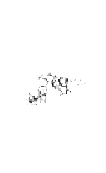 COc1ncc(Cl)cc1S(=O)(=O)Nc1ccc(F)c([C@H]2CCn3c(cnc3-c3ncc[nH]3)C2)c1F